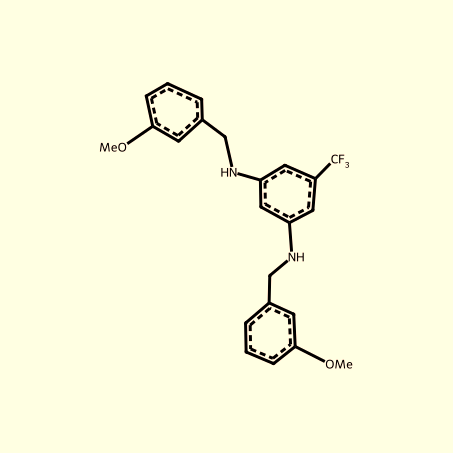 COc1cccc(CNc2cc(NCc3cccc(OC)c3)cc(C(F)(F)F)c2)c1